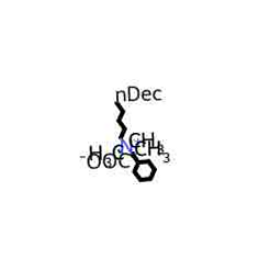 CCCCCCCCCCCCCCC[N+](C)(C)C(C)(C(=O)[O-])C1CCCCC1